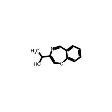 CC(O)C1=COc2ccccc2C=N1